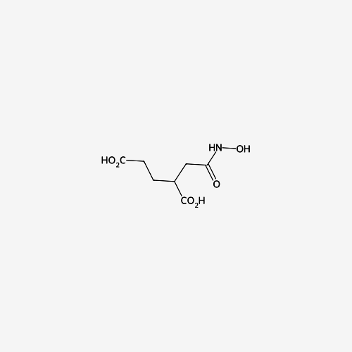 O=C(O)CCC(CC(=O)NO)C(=O)O